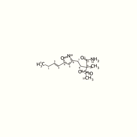 CC/C=C/c1cc(CCC(C)(C(N)=O)S(C)(=O)=O)no1